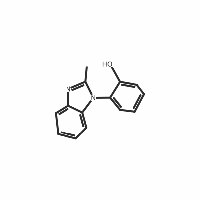 Cc1nc2ccccc2n1-c1ccccc1O